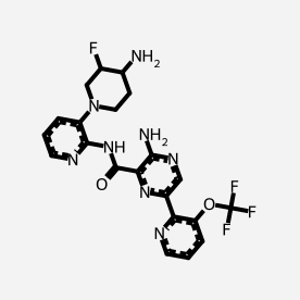 Nc1ncc(-c2ncccc2OC(F)(F)F)nc1C(=O)Nc1ncccc1N1CCC(N)C(F)C1